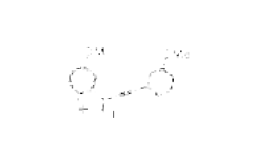 COc1cccc(C#CC(O)c2cc(OC)ccc2O)c1